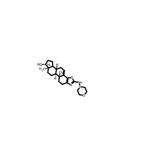 C[C@]12CC[C@H]3[C@@H](CC=C4c5sc(NN6CCOCC6)nc5CC[C@@]43C)[C@@H]1CC[C@@H]2O